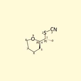 C[C@@H](SC#N)[C@H]1CCCCO1